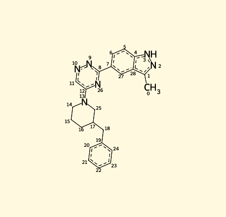 Cc1n[nH]c2ccc(-c3nncc(N4CCCC(Cc5ccccc5)C4)n3)cc12